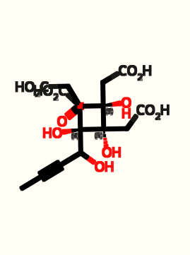 CC#CC(O)[C@](O)(CC(=O)O)[C@](O)(CC(=O)O)[C@@](O)(CC(=O)O)C(=O)CC(=O)O